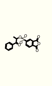 CC(OS(=O)(=O)c1ccc2c(c1)C(=O)OC2=O)C(=O)c1ccccc1